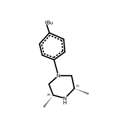 C[C@@H]1CN(c2ccc(C(C)(C)C)cc2)C[C@H](C)N1